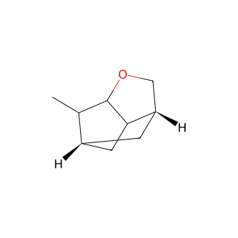 CC1C2OC[C@@H]3C[C@@H]1CC23